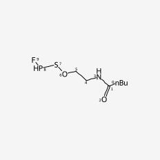 CCCCC(=O)NCCOSPF